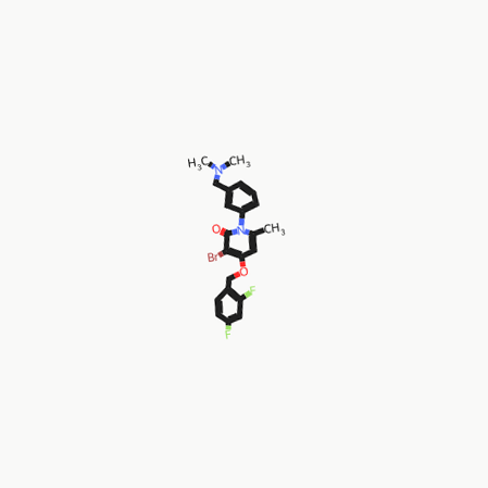 Cc1cc(OCc2ccc(F)cc2F)c(Br)c(=O)n1-c1cccc(CN(C)C)c1